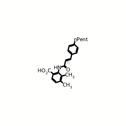 CCCCCc1ccc(/C=C/C(=O)Nc2c(C(=O)O)ccc(C)c2C)cc1